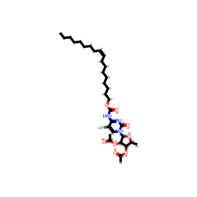 CCCCCCCC/C=C\CCCCCCCCOC(=O)Nc1nc(=O)n(C2OC(C)C(OC(C)=O)C2OC(C)=O)cc1F